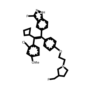 COc1ccc(C(=C(c2ccc(OCCN3CCC(CF)C3)cc2)c2ccc3[nH]nc(F)c3c2)C2CCC2)c(Cl)c1